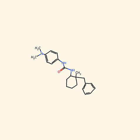 CN(C)c1ccc(NC(=O)NC2CCCCC2(C)Cc2ccccc2)cc1